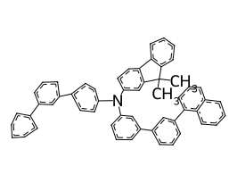 CC1(C)c2ccccc2-c2ccc(N(c3ccc(-c4cccc(-c5ccccc5)c4)cc3)c3cccc(-c4cccc(-c5cccc6ccccc56)c4)c3)cc21